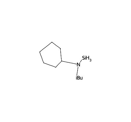 CCC(C)N([SiH3])C1CCCCC1